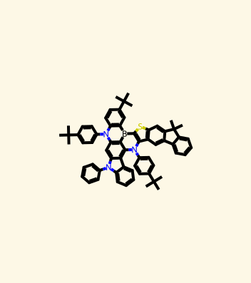 CC(C)(C)c1ccc(N2c3ccc(C(C)(C)C)cc3B3c4sc5cc6c(cc5c4N(c4ccc(C(C)(C)C)cc4)c4c3c2cc2c4c3ccccc3n2-c2ccccc2)-c2ccccc2C6(C)C)cc1